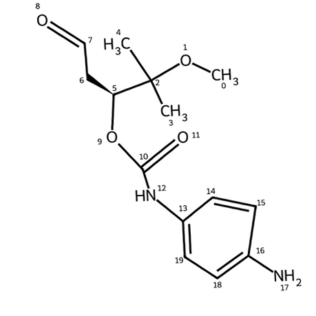 COC(C)(C)[C@H](CC=O)OC(=O)Nc1ccc(N)cc1